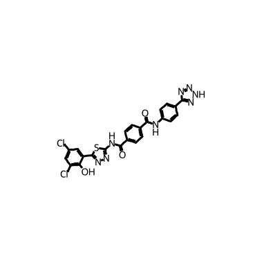 O=C(Nc1ccc(-c2nn[nH]n2)cc1)c1ccc(C(=O)Nc2nnc(-c3cc(Cl)cc(Cl)c3O)s2)cc1